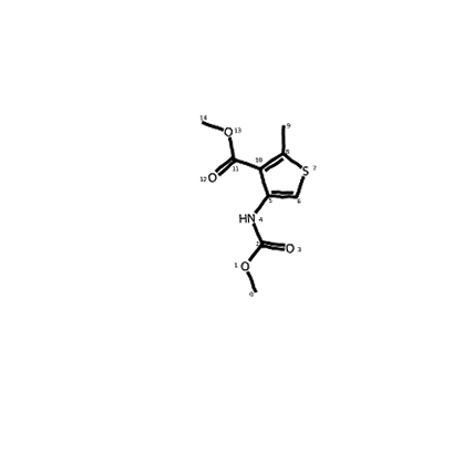 COC(=O)Nc1csc(C)c1C(=O)OC